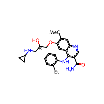 CCc1ccccc1Nc1c(C(N)=O)cnc2cc(OC)c(OC[C@H](O)CNC3CC3)cc12